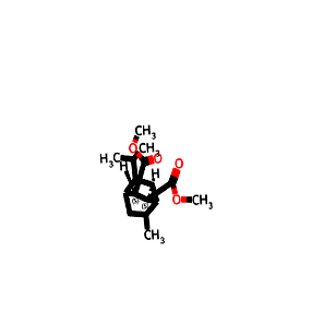 COC(=O)[C@H]1C2CC(C(C)C)C(CC2C)[C@@H]1C(=O)OC